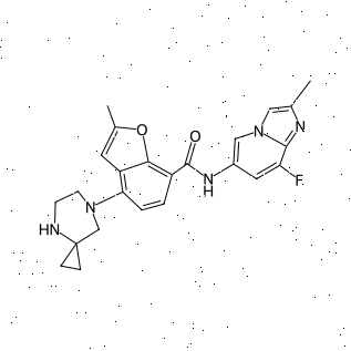 Cc1cn2cc(NC(=O)c3ccc(N4CCNC5(CC5)C4)c4cc(C)oc34)cc(F)c2n1